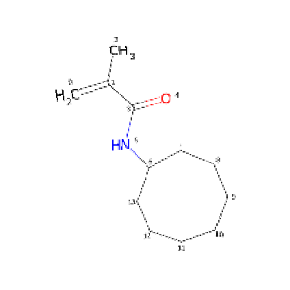 C=C(C)C(=O)NC1CCCCCCC1